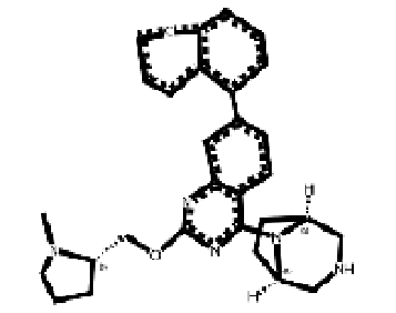 CN1CCC[C@H]1COc1nc(N2[C@@H]3CC[C@H]2CNC3)c2ccc(-c3cccc4ccccc34)cc2n1